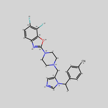 CC(c1ccc(C#N)cc1)n1cncc1CN1CCN(c2nc3ccc(F)c(F)c3o2)CC1